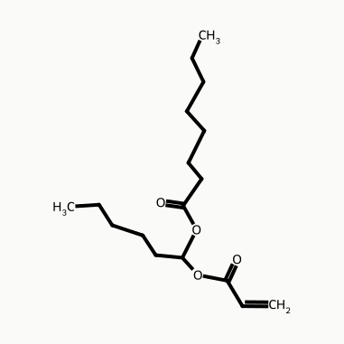 C=CC(=O)OC(CCCCC)OC(=O)CCCCCCC